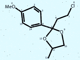 COc1ccc(C2(CCCl)OCC(C)O2)cc1